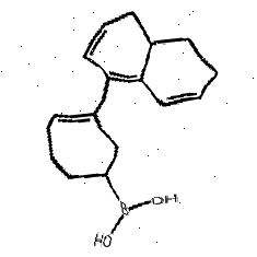 OB(O)C1CCC=C(C2=C3C=CCCC3CC=C2)C1